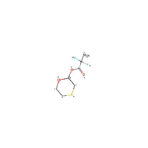 O=C(OC1CSCCO1)C(F)(F)S(=O)(=O)O